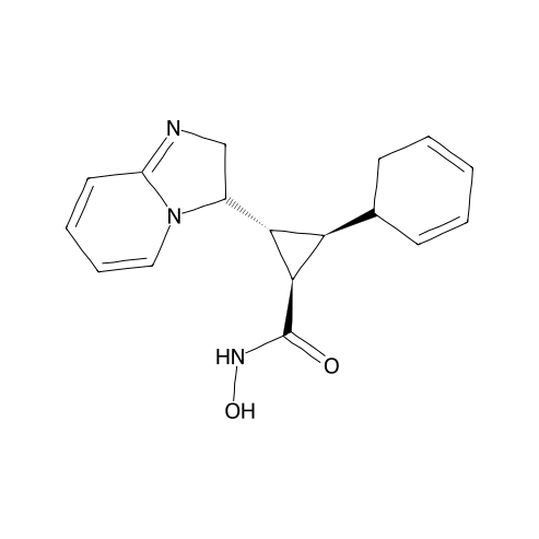 O=C(NO)[C@@H]1[C@H](C2C=CC=CC2)[C@H]1C1CN=C2C=CC=CN21